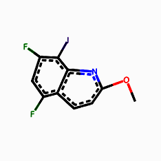 COc1ccc2c(F)cc(F)c(I)c2n1